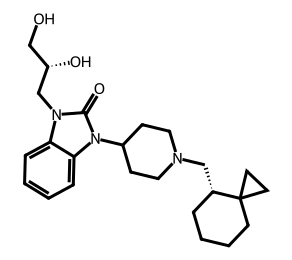 O=c1n(C[C@@H](O)CO)c2ccccc2n1C1CCN(C[C@H]2CCCCC23CC3)CC1